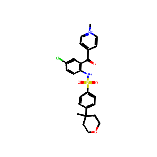 C[n+]1ccc(C(=O)c2cc(Cl)ccc2NS(=O)(=O)c2ccc(C3(C)CCOCC3)cc2)cc1